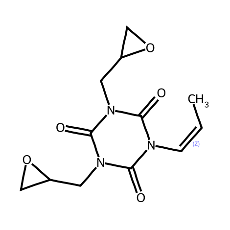 C/C=C\n1c(=O)n(CC2CO2)c(=O)n(CC2CO2)c1=O